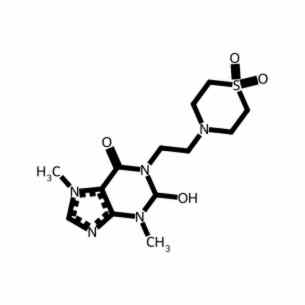 CN1c2ncn(C)c2C(=O)N(CCN2CCS(=O)(=O)CC2)C1O